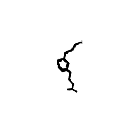 CC(C)CCCc1cccc(CCCI)c1